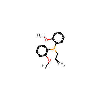 C=CCP(c1ccccc1OC)c1ccccc1OC